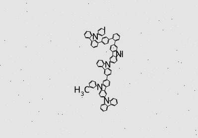 Cc1cccc(-n2c3ccc(-n4c5ccccc5c5ccccc54)cc3c3ccc(-c4ccc5c(c4)c4ccccc4n5-c4ccc5c(c4)c4ccc(-c6ccccc6-c6ccc(-c7cccc8c9ccccc9n(C9=CC=IC=C9)c78)cc6)cc4n5I)cc32)c1